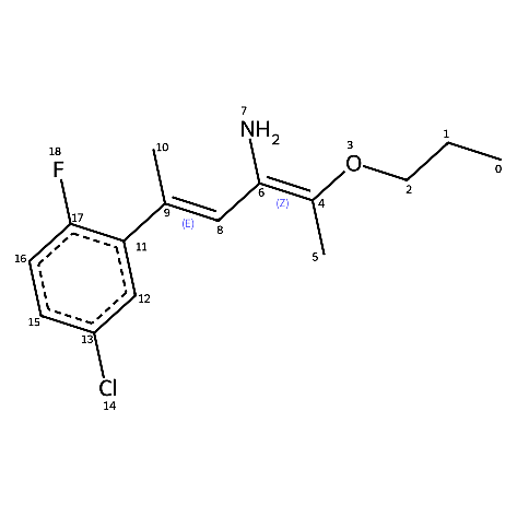 CCCO/C(C)=C(N)/C=C(\C)c1cc(Cl)ccc1F